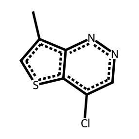 Cc1csc2c(Cl)cnnc12